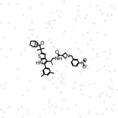 Cc1cc(C)cc(-c2[nH]c3sc(C(C)(C)C(=O)N4C5CCC4CC5)cc3c2[C@H](C)CNC(=O)C2CN(Cc3cccc([N+](=O)[O-])c3)C2)c1